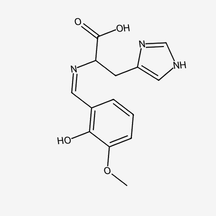 COc1cccc(/C=N\C(Cc2c[nH]cn2)C(=O)O)c1O